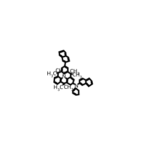 CC1(C)C2=CC(N(C3=CC=CCC3)c3ccc4ccccc4c3)CC3=C2N2c4c1cc(-c1ccc5ccccc5c1)cc4C(C)(C)c1cccc(c12)C3(C)C